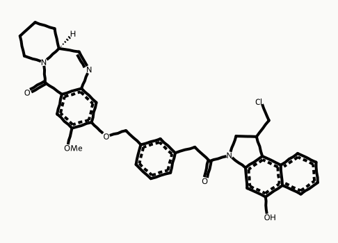 COc1cc2c(cc1OCc1cccc(CC(=O)N3CC(CCl)c4c3cc(O)c3ccccc43)c1)N=C[C@@H]1CCCCN1C2=O